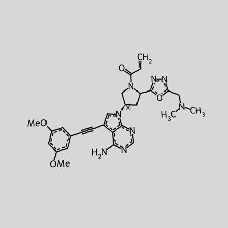 C=CC(=O)N1C[C@H](n2cc(C#Cc3cc(OC)cc(OC)c3)c3c(N)ncnc32)CC1c1nnc(CN(C)C)o1